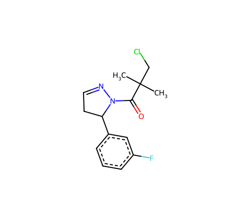 CC(C)(CCl)C(=O)N1N=CCC1c1cccc(F)c1